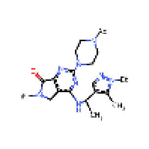 CCn1ncc(C(C)Nc2nc(N3CCN(C(C)=O)CC3)nc3c2CN(C(C)C)C3=O)c1C